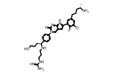 C[C@H](N)CCCc1cc(Cl)c(F)c(-c2cc3cn(-c4ccc([C@H](CCCO)NCCCNC(=N)N)cc4)c(=O)nc3[nH]2)c1